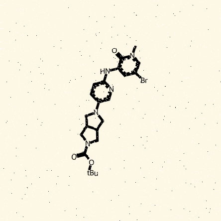 Cn1cc(Br)cc(Nc2ccc(N3CC4CN(C(=O)OC(C)(C)C)CC4C3)cn2)c1=O